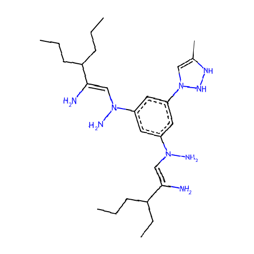 CCCC(CC)/C(N)=C/N(N)c1cc(N(N)/C=C(\N)C(CCC)CCC)cc(N2C=C(C)NN2)c1